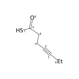 CCC#CCCC(=O)S